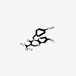 C=C(C)C1COc2cc(C)cnc2N(Cc2ccc(OC)cc2)C1=O